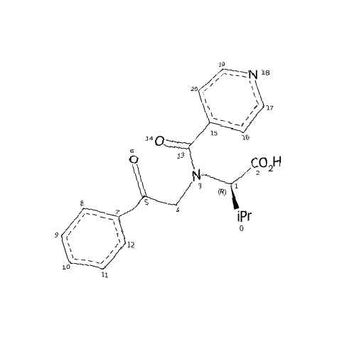 CC(C)[C@H](C(=O)O)N(CC(=O)c1ccccc1)C(=O)c1ccncc1